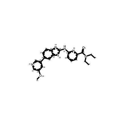 CCN(CC)C(=O)c1cccc(Nc2nc3ccc(-c4cncc(OC)c4)cc3s2)n1